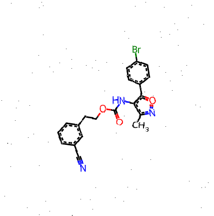 Cc1noc(-c2ccc(Br)cc2)c1NC(=O)OCCc1cccc(C#N)c1